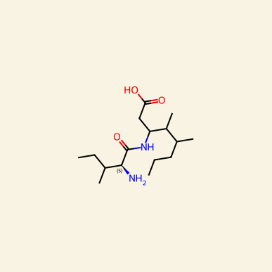 CCCC(C)C(C)C(CC(=O)O)NC(=O)[C@@H](N)C(C)CC